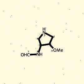 COC1CNCC1NC=O